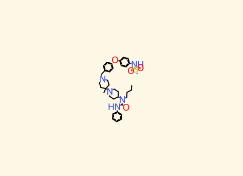 CCCCN(C(=O)Nc1ccccc1)C1CCN(C2(C)CCN(Cc3ccc(Oc4ccc(NS(C)(=O)=O)cc4)cc3)CC2)CC1